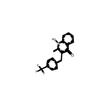 Cc1c(Cc2ccc(C(F)(F)F)cc2)c(=O)c2ccccc2n1O